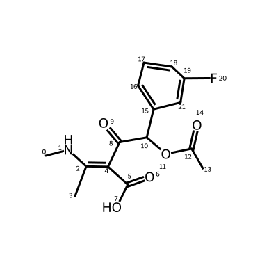 CN/C(C)=C(/C(=O)O)C(=O)C(OC(C)=O)c1cccc(F)c1